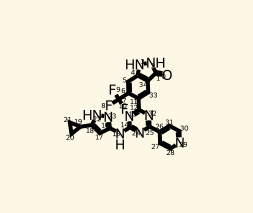 O=c1[nH][nH]c2cc(C(F)(F)F)c(-c3nc(Nc4cc(C5CC5)[nH]n4)nc(-c4ccncc4)n3)cc12